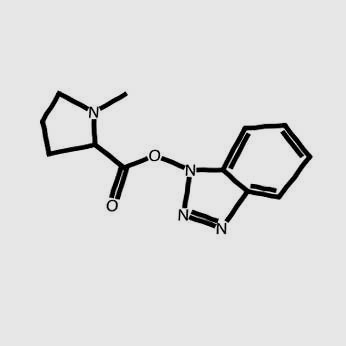 CN1CCCC1C(=O)On1nnc2ccccc21